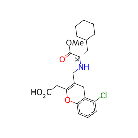 COC(=O)[C@H](CC1CCCCC1)NCC1=C(CC(=O)O)Oc2cccc(Cl)c2C1